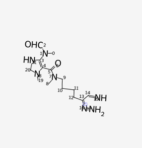 CN(C=O)C1=C(C(=O)N(C)CCCC/C(C=N)=N/N)N(C)CN1